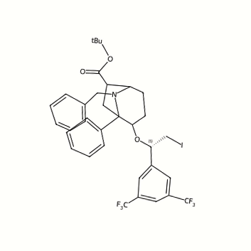 CC(C)(C)OC(=O)C1CC2(c3ccccc3)C(O[C@H](CI)c3cc(C(F)(F)F)cc(C(F)(F)F)c3)CCC1N2Cc1ccccc1